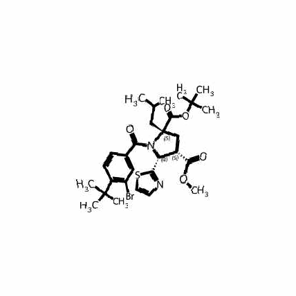 COC(=O)[C@H]1C[C@@](CC(C)C)(C(=O)OC(C)(C)C)N(C(=O)c2ccc(C(C)(C)C)c(Br)c2)[C@H]1c1nccs1